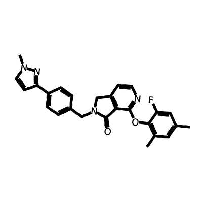 Cc1cc(C)c(Oc2nccc3c2C(=O)N(Cc2ccc(-c4ccn(C)n4)cc2)C3)c(F)c1